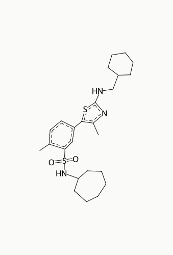 Cc1ccc(-c2sc(NCC3CCCCC3)nc2C)cc1S(=O)(=O)NC1CCCCCC1